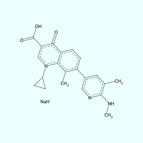 CNc1ncc(-c2ccc3c(=O)c(C(=O)O)cn(C4CC4)c3c2C)cc1C.[NaH]